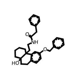 O=C(Cc1ccccc1)NCCC12CCCCC1(O)CCc1ccc(OCc3ccccc3)cc12